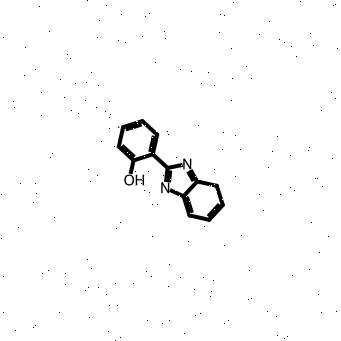 Oc1c[c]ccc1C1=NC2=CC=CCC2=N1